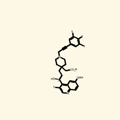 COc1ccc2ncc(F)c([C@@H](O)CCC3(CC(=O)O)CCN(CC#Cc4cc(F)c(F)c(F)c4)CC3)c2c1